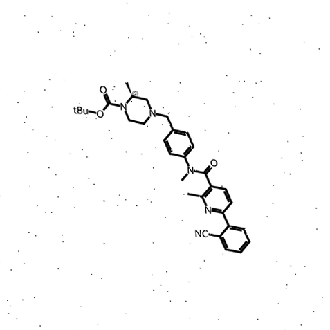 Cc1nc(-c2ccccc2C#N)ccc1C(=O)N(C)c1ccc(CN2CCN(C(=O)OC(C)(C)C)[C@@H](C)C2)cc1